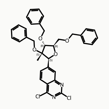 C[C@@]1(OCc2ccccc2)[C@H](OCc2ccccc2)[C@@H](COCc2ccccc2)O[C@H]1c1ccc2c(Cl)nc(Cl)nc2c1